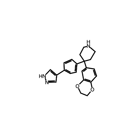 c1cc(C2(c3ccc4c(c3)OCCO4)CCNCC2)ccc1-c1cn[nH]c1